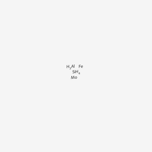 [AlH3].[Fe].[Mo].[SiH4]